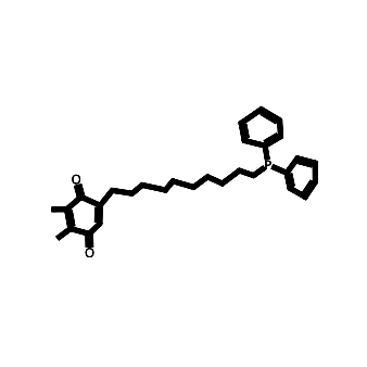 CC1=C(C)C(=O)C(CCCCCCCCCCP(c2ccccc2)c2ccccc2)=CC1=O